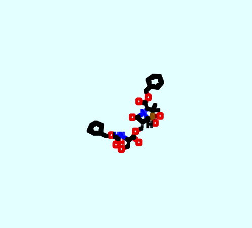 CC1(C)[C@H](C(=O)OCc2ccccc2)N2C(=O)[C@@H](COC(=O)[C@@H](CO)NC(=O)OCc3ccccc3)[C@H]2S1(=O)=O